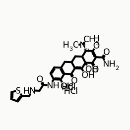 CN(C)[C@@H]1C(O)=C(C(N)=O)C(=O)C2(O)C(O)=C3C(=O)c4c(ccc(NC(=O)CNCc5cccs5)c4O)CC3CC12.Cl.Cl